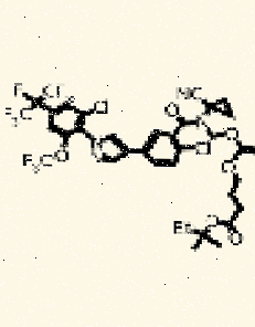 CCC(C)(C)OC(=O)CCCOC(=O)OCN(C(=O)c1cc(-c2cnn(-c3c(Cl)cc(C(F)(C(F)(F)F)C(F)(F)F)cc3OC(F)(F)F)c2)ccc1Cl)C1(C#N)CC1